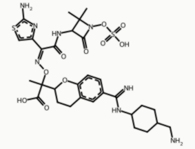 CC(ON=C(C(=O)NC1C(=O)N(OS(=O)(=O)O)C1(C)C)c1csc(N)n1)(C(=O)O)C1CCc2cc(C(=N)NC3CCC(CN)CC3)ccc2O1